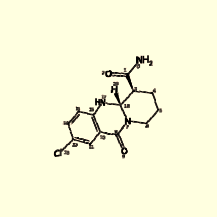 NC(=O)[C@H]1CCCN2C(=O)c3cc(Cl)ccc3N[C@H]12